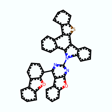 c1ccc2c(c1)oc1c(-c3nc(-n4c5ccccc5c5c6sc7ccccc7c6c6ccccc6c54)nc4oc5ccccc5c34)cccc12